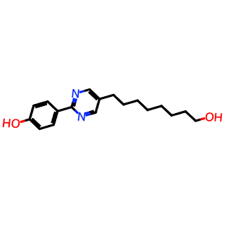 OCCCCCCCCc1cnc(-c2ccc(O)cc2)nc1